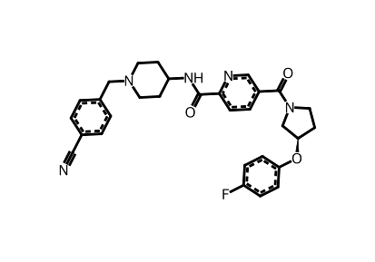 N#Cc1ccc(CN2CCC(NC(=O)c3ccc(C(=O)N4CC[C@@H](Oc5ccc(F)cc5)C4)cn3)CC2)cc1